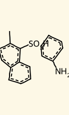 Cc1ccc2ccccc2c1S(=O)(=O)O.Nc1ccccc1